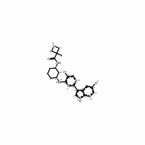 CC1(C(=O)N[C@@H]2CCC[C@H](Nc3nc(-c4c[nH]c5ncc(Cl)cc45)ncc3F)C2)COC1